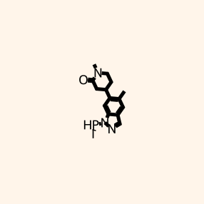 Cc1cc2cnn(PI)c2cc1C1CCN(C)C(=O)C1